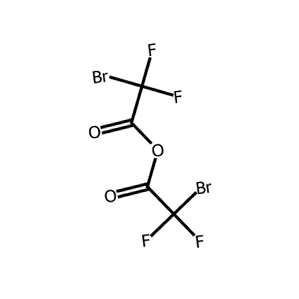 O=C(OC(=O)C(F)(F)Br)C(F)(F)Br